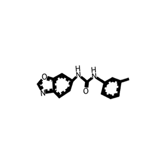 Cc1cccc(NC(=O)Nc2ccc3ncoc3c2)c1